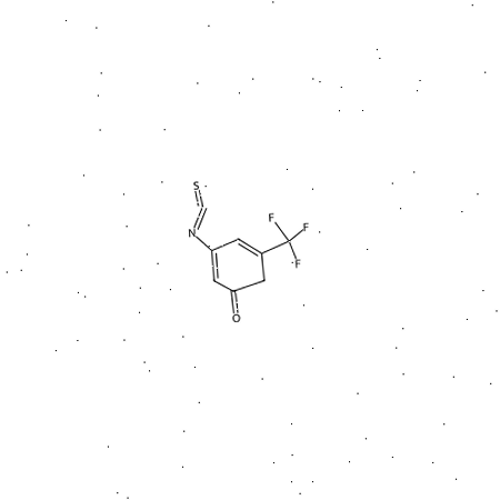 O=C1C=C(N=C=S)C=C(C(F)(F)F)C1